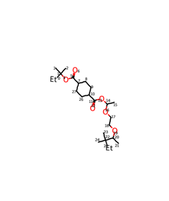 CCC(C)(C)OC(=O)C1CCC(C(=O)OC(C)OCCOC(C)C(C)(C)CC)CC1